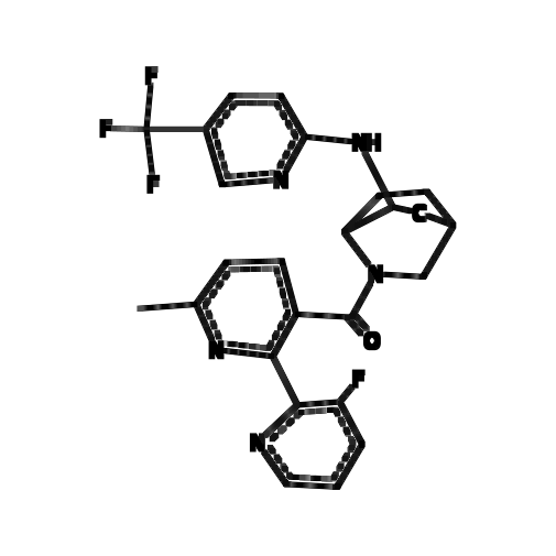 Cc1ccc(C(=O)N2CC3CCC2C(Nc2ccc(C(F)(F)F)cn2)C3)c(-c2ncccc2F)n1